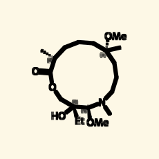 CC[C@@]1(O)COC(=O)[C@H](C)CCC[C@](C)(OC)CCCN(C)[C@H]1OC